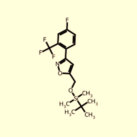 CC(C)(C)[Si](C)(C)OCc1cc(-c2ccc(F)cc2C(F)(F)F)no1